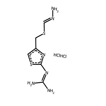 Cl.Cl.NN=CSCc1csc(N=C(N)N)n1